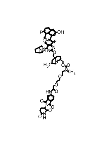 C#Cc1c(F)ccc2cc(O)cc(-c3ncc4c(N5CC6CCC(C5)N6)nc(OC[C@@]56CC[C@@H](COC(=O)N(C)CCOCCOCC(=O)Nc7ccc8c(c7)C(=O)N(C7CCC(=O)NC7=O)C8=O)N5CC(=C)C6)nc4c3F)c12